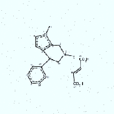 CN1Cc2c(ccn2C)C(c2ccccc2)C1.O=C(O)C=CC(=O)O